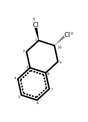 Cl[C@@H]1Cc2ccccc2C[C@H]1Cl